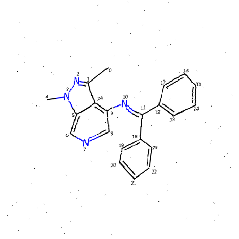 Cc1nn(C)c2cncc(N=C(c3ccccc3)c3ccccc3)c12